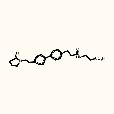 CC1CCCN1CCc1ccc(-c2ccc(CCC(=O)NCCC(=O)O)cc2)cc1